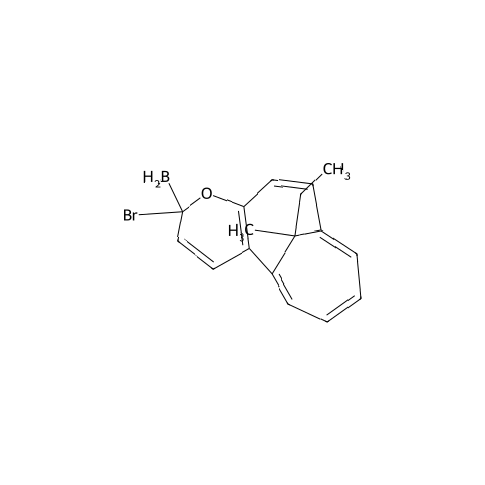 BC1(Br)C=CC2=C(C=CC3=CC=CC=C2C3(C)CC)O1